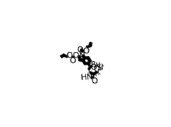 C=CCOC(=O)Oc1cc2cc(C(=O)C[C@H]3NC(=O)[C@@H]3[C@@H](C)O[Si](C)(C)C(C)(C)C)ccc2n1C(=O)OCC=C